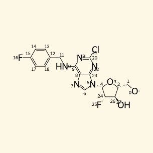 [O]C[C@H]1O[C@@H](n2cnc3c(NCc4ccc(F)cc4)nc(Cl)nc32)[C@@H](F)[C@@H]1O